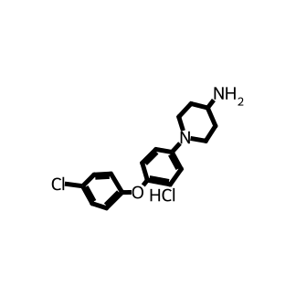 Cl.NC1CCN(c2ccc(Oc3ccc(Cl)cc3)cc2)CC1